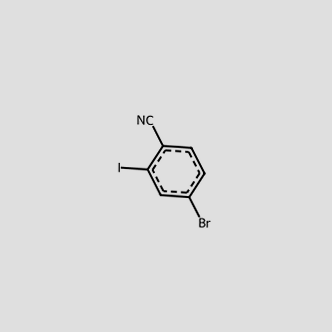 N#Cc1ccc(Br)cc1I